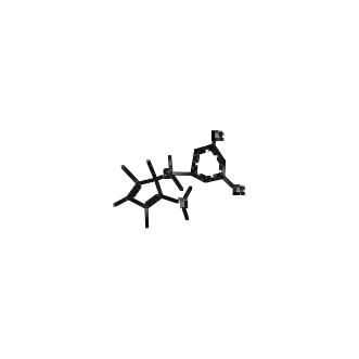 CCc1cc(CC)cc([Si](C)(C)C2(C)C(C)=C(C)C(C)=[C]2[Ti]([CH3])[CH3])c1